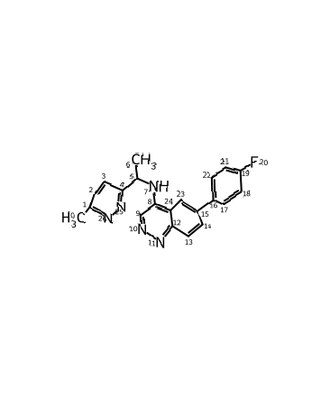 Cc1ccc(C(C)Nc2cnnc3ccc(-c4ccc(F)cc4)cc23)nn1